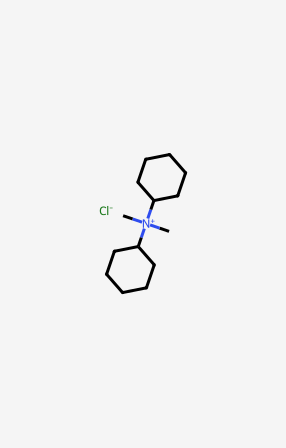 C[N+](C)(C1CCCCC1)C1CCCCC1.[Cl-]